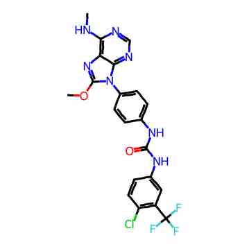 CNc1ncnc2c1nc(OC)n2-c1ccc(NC(=O)Nc2ccc(Cl)c(C(F)(F)F)c2)cc1